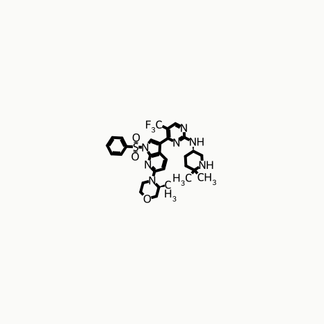 C[C@H]1COCCN1c1ccc2c(-c3nc(N[C@H]4CCC(C)(C)NC4)ncc3C(F)(F)F)cn(S(=O)(=O)c3ccccc3)c2n1